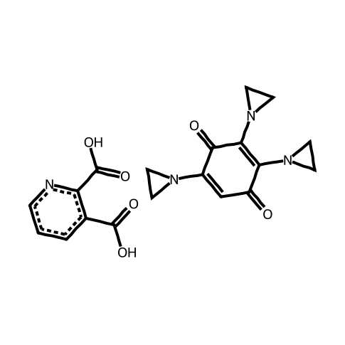 O=C(O)c1cccnc1C(=O)O.O=C1C=C(N2CC2)C(=O)C(N2CC2)=C1N1CC1